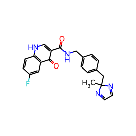 CC1(Cc2ccc(CNC(=O)c3c[nH]c4ccc(F)cc4c3=O)cc2)N=CC=N1